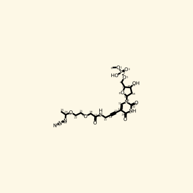 COP(=O)(O)OCC1OC(n2cc(C#CCNC(=O)COCCOC(C)N=[N+]=[N-])c(=O)[nH]c2=O)CC1O